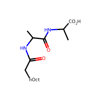 CCCCCCCCCC(=O)NC(C)C(=O)NC(C)C(=O)O